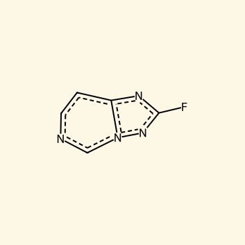 Fc1nc2ccncn2n1